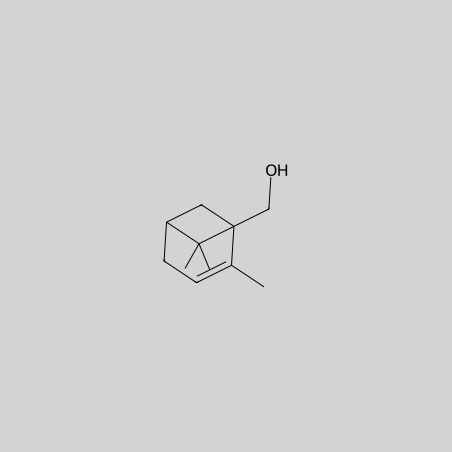 CC1=CCC2CC1(CO)C2(C)C